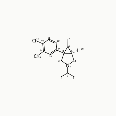 CC(C)N1C[C@@H]2C(C)C2(c2ccc(Cl)c(Cl)c2)C1